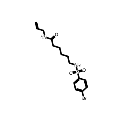 C=CCNC(=O)CCCCCNS(=O)(=O)c1ccc(Br)cc1